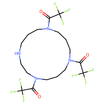 O=C(N1CCCNCCN(C(=O)C(F)(F)F)CCCN(C(=O)C(F)(F)F)CCC1)C(F)(F)F